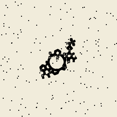 CCn1c(-c2cccnc2[C@H](C)OC)c2c3cc(ccc31)-c1csc(n1)C[C@H](NC(=O)C(C(C)C)N(C)C(=O)N1CC(NS(C)(=O)=O)C1)C(=O)N1CCC[C@H](N1)C(=O)OCC(C)(C)C2